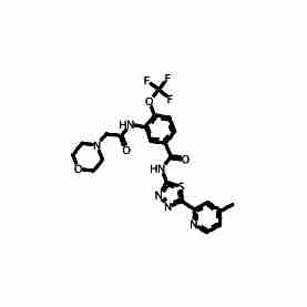 Cc1ccnc(-c2nnc(NC(=O)c3ccc(OC(F)(F)F)c(NC(=O)CN4CCOCC4)c3)s2)c1